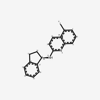 Ic1cccc2nc(N[C@@H]3CCc4ccccc43)ccc12